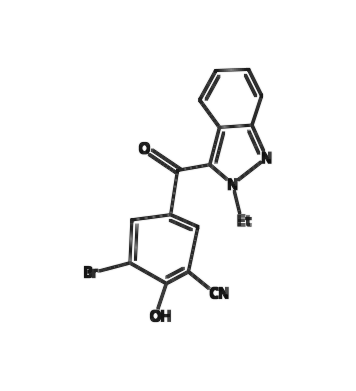 CCn1nc2ccccc2c1C(=O)c1cc(Br)c(O)c(C#N)c1